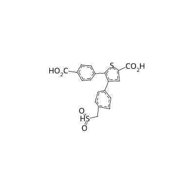 O=C(O)c1ccc(-c2sc(C(=O)O)cc2-c2ccc(C[SH](=O)=O)cc2)cc1